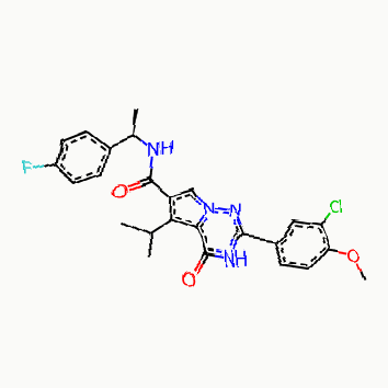 COc1ccc(-c2nn3cc(C(=O)N[C@H](C)c4ccc(F)cc4)c(C(C)C)c3c(=O)[nH]2)cc1Cl